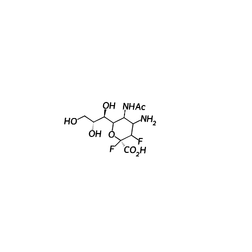 CC(=O)NC1C(N)C(F)[C@](F)(C(=O)O)OC1[C@H](O)[C@H](O)CO